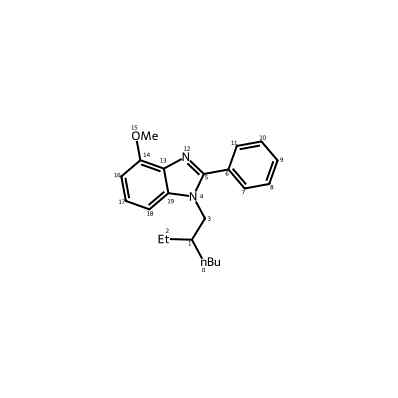 CCCCC(CC)Cn1c(-c2ccccc2)nc2c(OC)cccc21